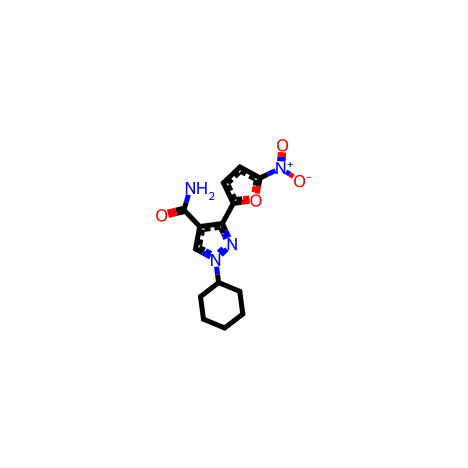 NC(=O)c1cn(C2CCCCC2)nc1-c1ccc([N+](=O)[O-])o1